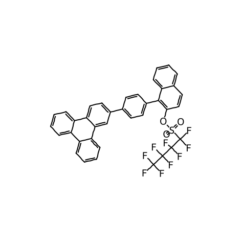 O=S(=O)(Oc1ccc2ccccc2c1-c1ccc(-c2ccc3c4ccccc4c4ccccc4c3c2)cc1)C(F)(F)C(F)(F)C(F)(F)C(F)(F)F